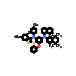 CC(C)(C)c1ccc(N2c3cc(N(c4ccc5c(c4)C(C(F)(F)F)(C(F)(F)F)CCC5(C(F)(F)F)C(F)(F)F)c4cccc5ccccc45)cc4c3B(c3ccccc3O4)c3sc4cc(C(C)(C)C)cc(C(C)(C)C)c4c32)cc1